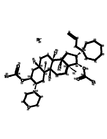 C=CC[N+]1([C@H]2C[C@H]3[C@@H]4CC[C@H]5C[C@H](OC(=O)CC)[C@@H](N6CCOCC6)C[C@]5(C)[C@H]4CC[C@]3(C)[C@H]2OC(=O)CC)CCCCCC1.[Br-]